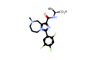 CN1CCCn2c(-c3cc(F)c(F)cc3F)nc(C(=O)N[C@H](C(=O)O)C(C)(C)C)c2C1